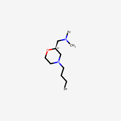 CC(=O)N(C)C[C@H]1CN(CCCC(C)C)CCO1